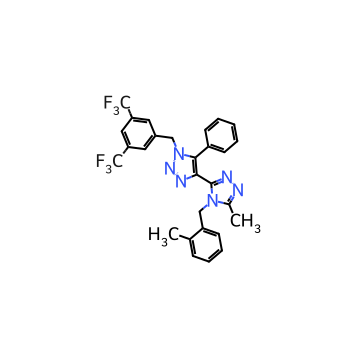 Cc1ccccc1Cn1c(C)nnc1-c1nnn(Cc2cc(C(F)(F)F)cc(C(F)(F)F)c2)c1-c1ccccc1